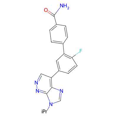 CC(C)n1cnc2c(-c3ccc(F)c(-c4ccc(C(N)=O)cc4)c3)cnnc21